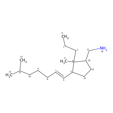 CCCC1(C)C(C=CCCCC(C)C)CCC1CN